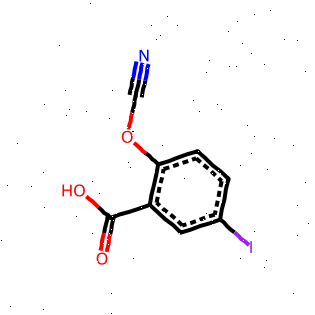 N#COc1ccc(I)cc1C(=O)O